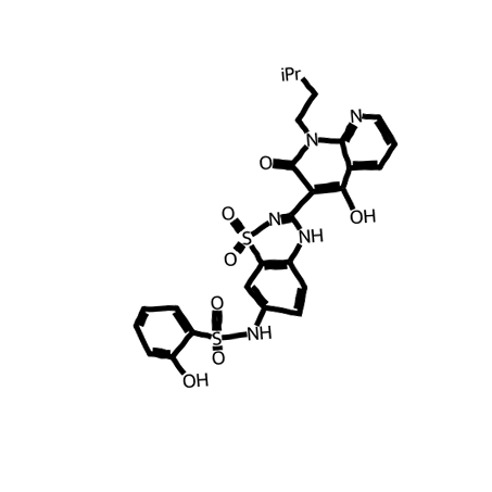 CC(C)CCn1c(=O)c(C2=NS(=O)(=O)c3cc(NS(=O)(=O)c4ccccc4O)ccc3N2)c(O)c2cccnc21